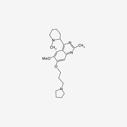 COc1cc2c(C3CCCCN3C)nc(C)nc2cc1OCCCN1CCCC1